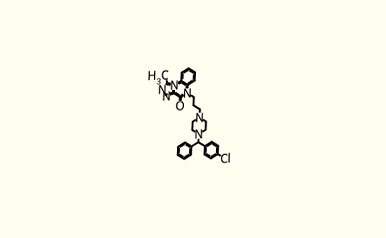 Cc1nnc2c(=O)n(CCCN3CCN(C(c4ccccc4)c4ccc(Cl)cc4)CC3)c3ccccc3n12